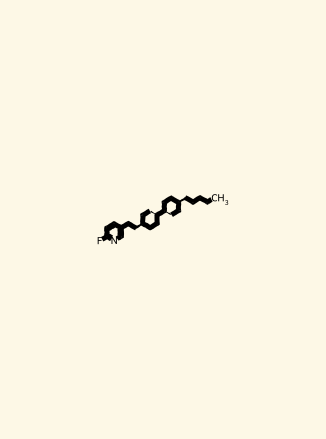 CCCCC[C@H]1CC[C@H]([C@H]2CC[C@H](CCc3ccc(F)nc3)CC2)CC1